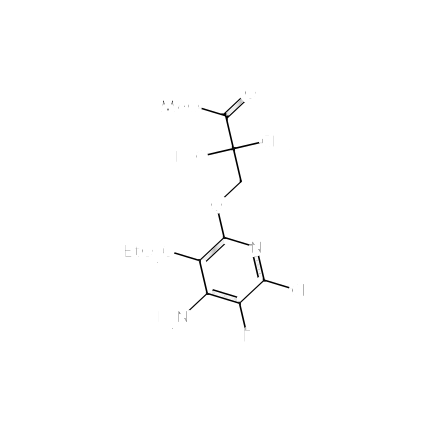 CCOC(=O)c1c(OCC(C)(C)C(=O)OC)nc(Cl)c(F)c1N